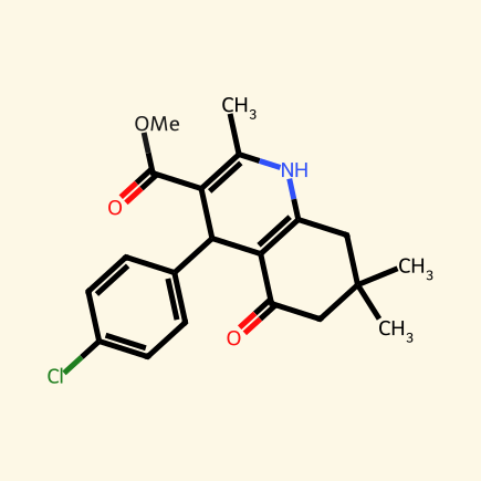 COC(=O)C1=C(C)NC2=C(C(=O)CC(C)(C)C2)C1c1ccc(Cl)cc1